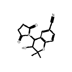 CC1(C)Oc2ccc(C#N)cc2C(N2C(=O)CCC2=O)C1O